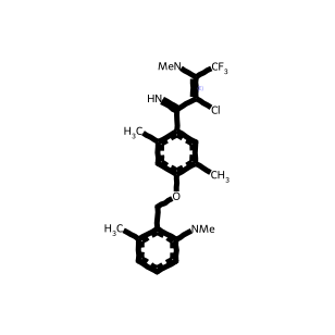 CN/C(=C(/Cl)C(=N)c1cc(C)c(OCc2c(C)cccc2NC)cc1C)C(F)(F)F